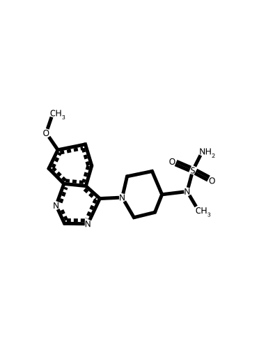 COc1ccc2c(N3CCC(N(C)S(N)(=O)=O)CC3)ncnc2c1